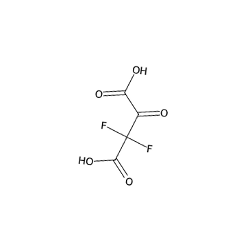 O=C(O)C(=O)C(F)(F)C(=O)O